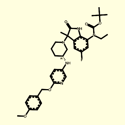 CCN(C(=O)OC(C)(C)C)c1cc(F)cc2c1NC(=O)C2(C)N1CCC[C@@H](Nc2ccc(OCc3ccc(OC)cc3)nc2)C1